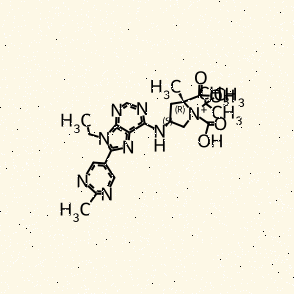 CCn1c(-c2cnc(C)nc2)nc2c(N[C@H]3C[C@](C)(C(=O)O)[N+](C(=O)O)(C(C)(C)C)C3)ncnc21